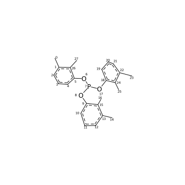 Cc1cccc(OP(Oc2cccc(C)c2C)Oc2cccc(C)c2C)c1C